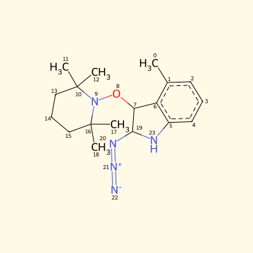 Cc1cccc2c1C(ON1C(C)(C)CCCC1(C)C)C(N=[N+]=[N-])N2